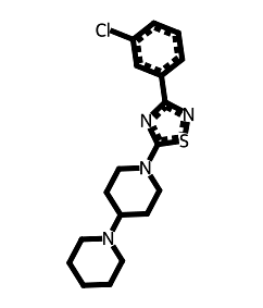 Clc1cccc(-c2nsc(N3CCC(N4CCCCC4)CC3)n2)c1